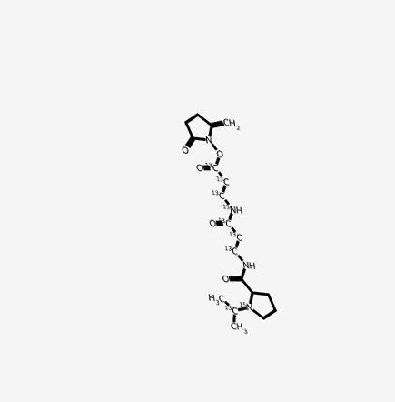 C=C1CCC(=O)N1O[13C](=O)[13CH2][13CH2][15NH][13C](=O)[13CH2][13CH2]NC(=O)C1CCC[15N]1[13CH](C)C